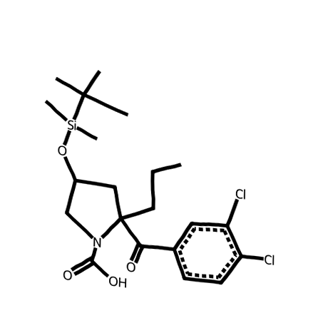 CCCC1(C(=O)c2ccc(Cl)c(Cl)c2)CC(O[Si](C)(C)C(C)(C)C)CN1C(=O)O